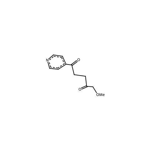 COCC(=O)CCC(=O)c1ccncc1